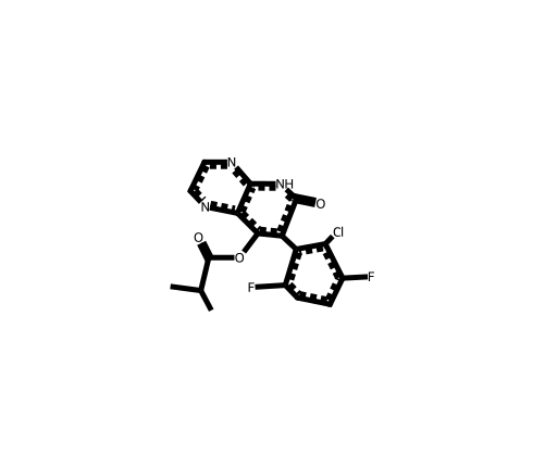 CC(C)C(=O)Oc1c(-c2c(F)ccc(F)c2Cl)c(=O)[nH]c2nccnc12